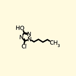 CCCCCn1nc(O)nc1Cl